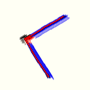 CO.CO.CO.CO.CO.CO.CO.CO.CO.CO.N.N.N.N.N.N.N.N.N.N.N.N.N.N.N.N.N.N.N.N.N.N.N.N.N.N.N.N.N.N.N.N.N.N.N.N.N.N.N.N.N.N.N.N.N.N.N.N.N.N.N.N.N.N.N.N.N.N.N.N.N.N.N.N.N.N.N.N.N.N.N.N.N.N.N.N.N.N.N.N.N.N.N.N.N.N.N.N.N.N